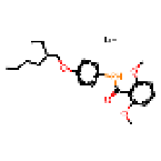 CCCCC(CC)COc1ccc(PC(=O)c2c(OC)cccc2OC)cc1.[LiH]